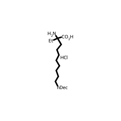 CCCCCCCCCCCCCCCCCCC(N)(CC)C(=O)O.Cl